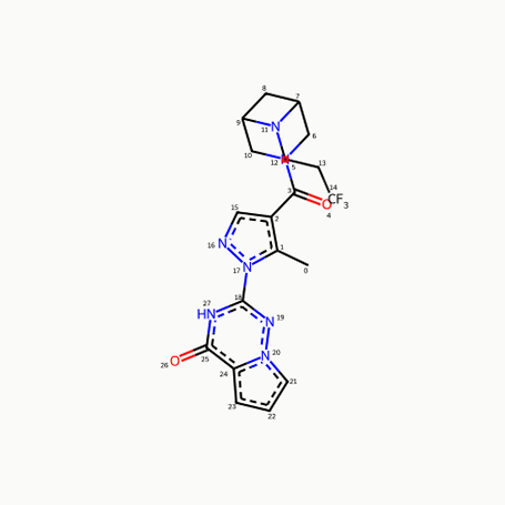 Cc1c(C(=O)N2CC3CC(C2)N3CCC(F)(F)F)cnn1-c1nn2cccc2c(=O)[nH]1